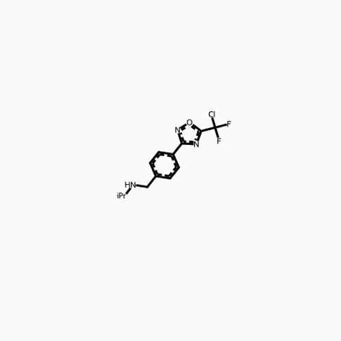 CC(C)NCc1ccc(-c2noc(C(F)(F)Cl)n2)cc1